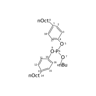 CCCCCCCCc1ccc(OP(OCCCC)Oc2ccc(CCCCCCCC)cc2)cc1